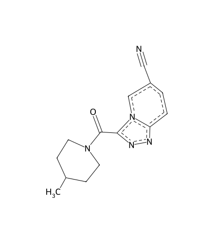 CC1CCN(C(=O)c2nnc3ccc(C#N)cn23)CC1